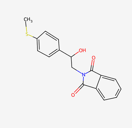 CSc1ccc(C(O)CN2C(=O)c3ccccc3C2=O)cc1